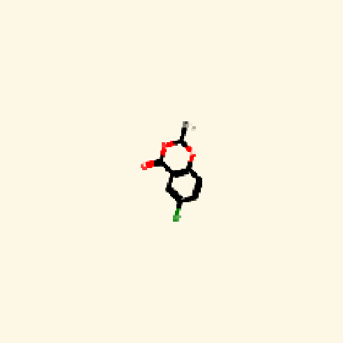 CC1OC(=O)c2cc(Br)ccc2O1